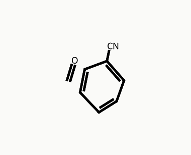 C=O.N#Cc1ccccc1